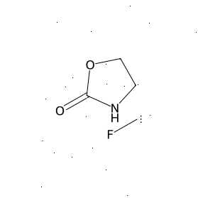 O=C1NCCO1.[C]F